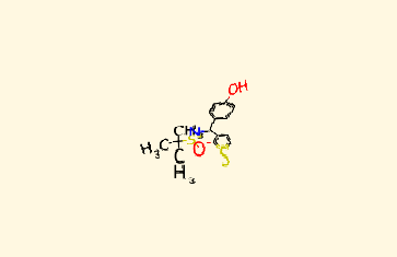 CC(C)(C)[S+]([O-])/N=C(/c1ccc(O)cc1)c1ccsc1